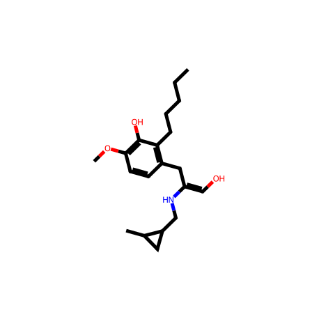 CCCCCc1c(C/C(=C\O)NCC2CC2C)ccc(OC)c1O